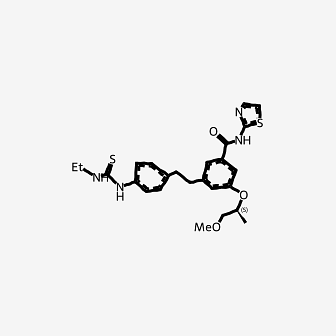 CCNC(=S)Nc1ccc(CCc2cc(O[C@@H](C)COC)cc(C(=O)Nc3nccs3)c2)cc1